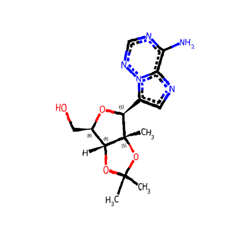 CC1(C)O[C@@H]2[C@@H](CO)O[C@@H](c3cnc4c(N)ncnn34)[C@]2(C)O1